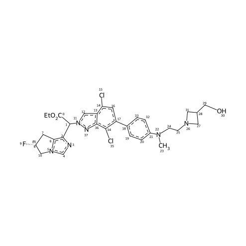 CCOC(=O)C(c1ncn2c1C[C@@H](F)C2)n1cc2c(Cl)cc(-c3ccc(N(C)CCN4CC(CO)C4)cc3)c(Cl)c2n1